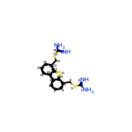 N=C(N)SCc1cccc2c1sc1c(CSC(=N)N)cccc12